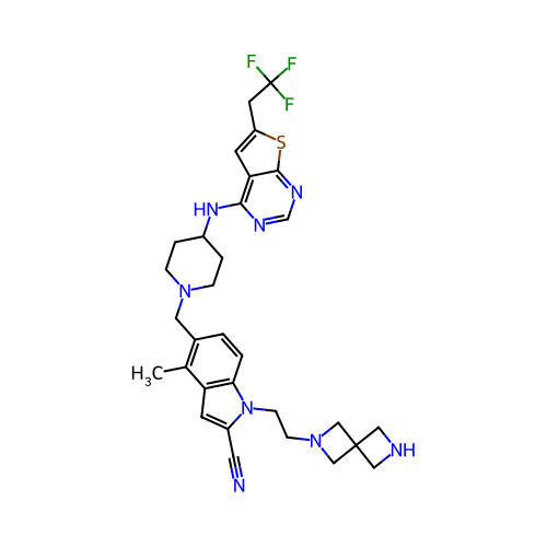 Cc1c(CN2CCC(Nc3ncnc4sc(CC(F)(F)F)cc34)CC2)ccc2c1cc(C#N)n2CCN1CC2(CNC2)C1